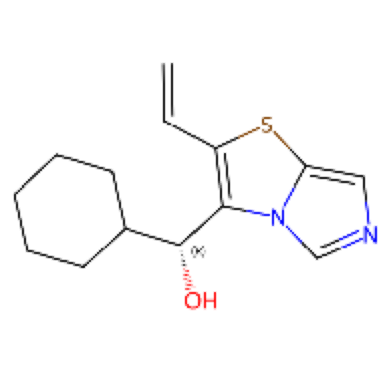 C=Cc1sc2cncn2c1[C@H](O)C1CCCCC1